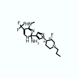 CCCN1CC[C@@H](n2cc(C3(N)N=C(NC)C(C(F)(F)F)=CN3)cn2)[C@H](F)C1